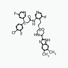 Cc1cc2nc([C@@H]3CO[C@H](CCc4c(F)cncc4NC(=O)C[C@H](c4cncc(F)c4)c4ccc(Cl)c(F)c4)CN3)[nH]c2cc1C